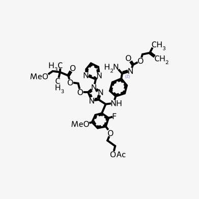 C=C(C)COC(=O)/N=C(\N)c1ccc(NC(c2nc(OCOC(=O)C(C)(C)COC)n(-c3ncccn3)n2)c2cc(OC)cc(OCCOC(C)=O)c2F)cc1